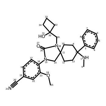 CNC1(c2ccccc2)CCC2(CC1)CN(c1ccc(C#N)cc1OC)C(=O)N2CC1(O)CCC1